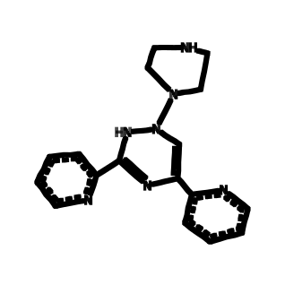 C1=C(c2ccccn2)N=C(c2ccccn2)NN1N1CCNCC1